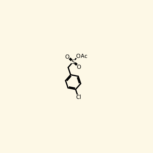 CC(=O)OS(=O)(=O)Cc1ccc(Cl)cc1